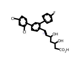 O=C(O)CC(O)CC(O)/C=C/c1ccc(-c2ccc(Cl)cc2Cl)cc1-c1ccc(F)cc1